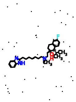 CC(C)[C@H]1c2ccc(F)cc2CC[C@]1(O)CCN(C)CCCCCCCc1nc2ccccc2[nH]1